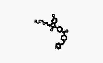 CCOCCn1c(=O)n(C2CCN(C(=O)C3CCN(Cc4ccncc4)CC3)CC2)c2ccc(Cl)cc21